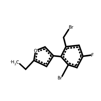 [CH2]Cc1cc(-c2c(Br)cc(F)cc2CBr)co1